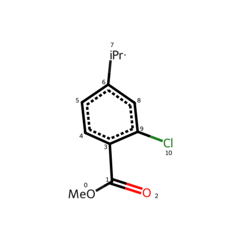 COC(=O)c1ccc([C](C)C)cc1Cl